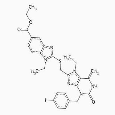 C=C1NC(=O)N(Cc2ccc(I)cc2)c2nc(CSc3nc4cc(C(=O)OCC)ccc4n3CC)n(CC)c21